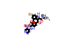 COC(=O)c1cc(Br)cc2[nH]c(C(=O)N(C)C)c(C(=O)c3ccc(CNc4ccncc4[N+](=O)[O-])cc3)c12